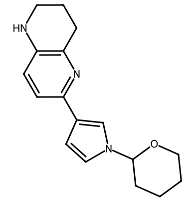 c1cn(C2CCCCO2)cc1-c1ccc2c(n1)CCCN2